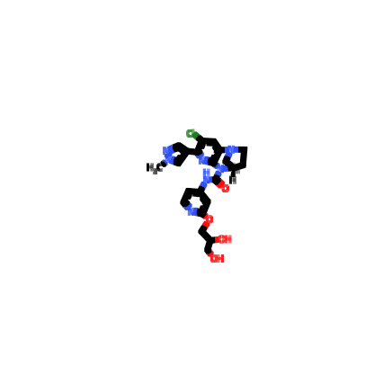 Cn1cc(-c2nc3c(cc2Cl)N2CC[C@@H](C2)N3C(=O)Nc2ccnc(OCC(O)CO)c2)cn1